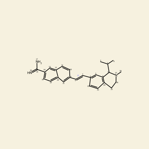 CC(C)C1c2cc(/C=C/c3ccc4cc(C(=N)N)ccc4c3)ccc2CCN1C